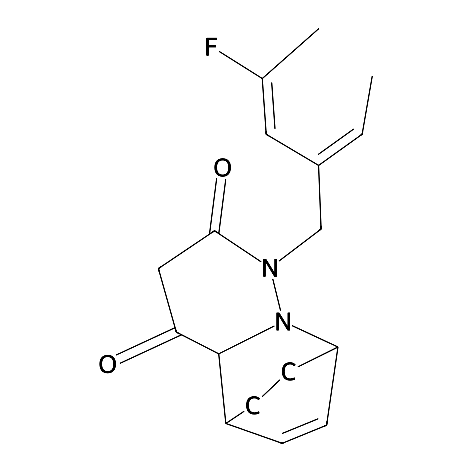 C/C=C(\C=C(/C)F)CN1C(=O)CC(=O)C2C3C=CC(CC3)N21